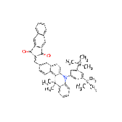 CC1(C)c2ccccc2N(c2cc([Si](C)(C)C)cc([Si](C)(C)C)c2)c2ccc3cc(C=C4C(=O)c5cc6ccccc6cc5C4=O)ccc3c21